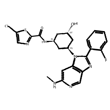 CNc1cc2c(cn1)nc(-c1ccccc1F)n2[C@@H]1C[C@@H](O)C[C@H](NC(=O)c2ncc(Cl)s2)C1